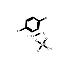 CC(=O)O.CCc1cc[c]([Tl])cc1.[O-][Cl+3]([O-])([O-])O